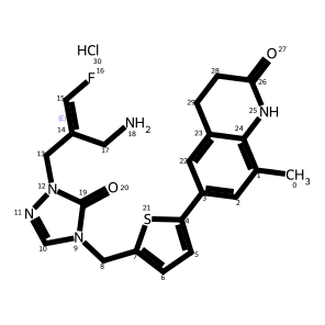 Cc1cc(-c2ccc(Cn3cnn(C/C(=C/F)CN)c3=O)s2)cc2c1NC(=O)CC2.Cl